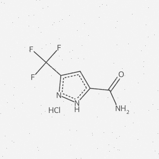 Cl.NC(=O)c1cc(C(F)(F)F)n[nH]1